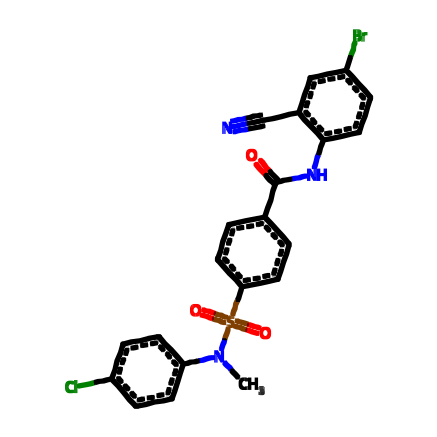 CN(c1ccc(Cl)cc1)S(=O)(=O)c1ccc(C(=O)Nc2ccc(Br)cc2C#N)cc1